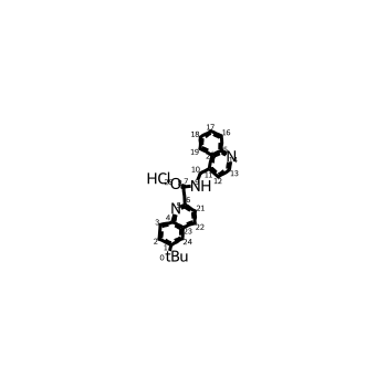 CC(C)(C)c1ccc2nc(C(=O)NCc3ccnc4ccccc34)ccc2c1.Cl